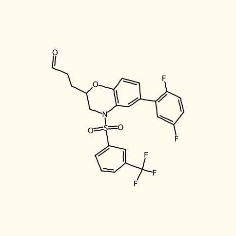 O=CCCC1CN(S(=O)(=O)c2cccc(C(F)(F)F)c2)c2cc(-c3cc(F)ccc3F)ccc2O1